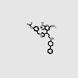 Nc1cc(C(CCNC2CCC(c3ccccc3)CC2)c2cnn(Cc3cccc(OC(F)F)c3)c2)c2nn[nH]c2n1